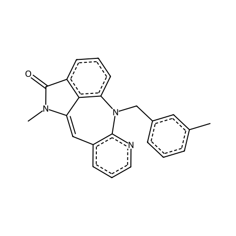 Cc1cccc(CN2c3cccc4c3C(=Cc3cccnc32)N(C)C4=O)c1